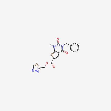 Cn1c(=O)n(Cc2ccccc2)c(=O)c2cc(C(=O)OCc3nncs3)sc21